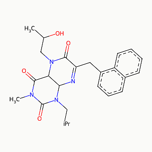 CC(C)CN1C(=O)N(C)C(=O)C2C1N=C(Cc1cccc3ccccc13)C(=O)N2CC(C)O